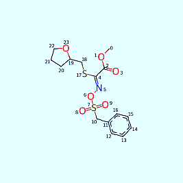 COC(=O)/C(=N/OS(=O)(=O)Cc1ccccc1)SCC1CCCO1